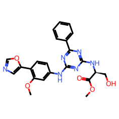 COC(=O)[C@H](CO)Nc1nc(Nc2ccc(-c3cnco3)c(OC)c2)nc(-c2ccccc2)n1